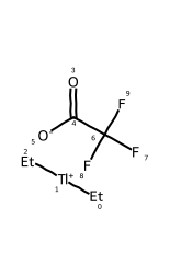 C[CH2][Tl+][CH2]C.O=C([O-])C(F)(F)F